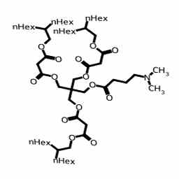 CCCCCCC(CCCCCC)COC(=O)CC(=O)OCC(COC(=O)CCCN(C)C)(COC(=O)CC(=O)OCC(CCCCCC)CCCCCC)COC(=O)CC(=O)OCC(CCCCCC)CCCCCC